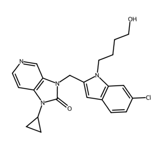 O=c1n(Cc2cc3ccc(Cl)cc3n2CCCCO)c2cnccc2n1C1CC1